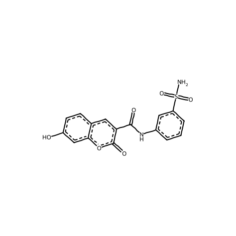 NS(=O)(=O)c1cccc(NC(=O)c2cc3ccc(O)cc3oc2=O)c1